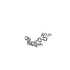 CCCCn1c(-c2ccc3nc(CCC)n(Cc4ccc(-c5ccccc5OC(=O)O)cc4)c3c2)nc2ccccc21